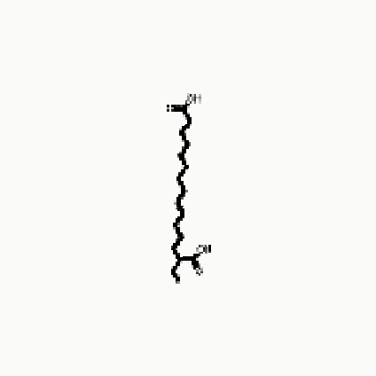 CCC(CCCCCCCCCCCCC(=O)O)C(=O)O